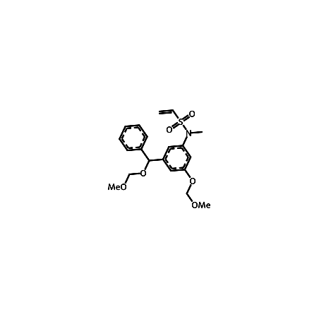 C=CS(=O)(=O)N(C)c1cc(OCOC)cc(C(OCOC)c2ccccc2)c1